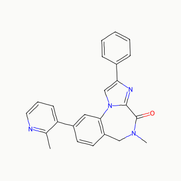 Cc1ncccc1-c1ccc2c(c1)-n1cc(-c3ccccc3)nc1C(=O)N(C)C2